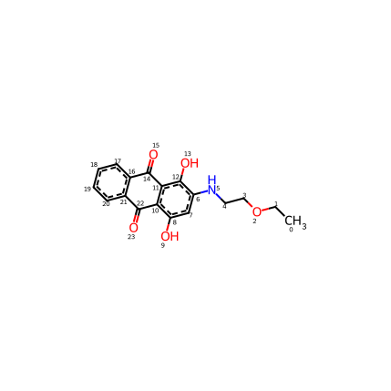 CCOCCNc1cc(O)c2c(c1O)C(=O)c1ccccc1C2=O